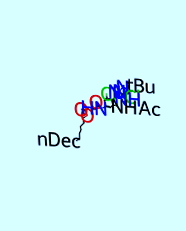 CCCCCCCCCCCCCCCCOC(=O)CCC(=O)Nc1cc(Cl)c(-c2nn3nc(C(C)(C)C)c(Cl)c3[nH]2)c(NC(C)=O)c1